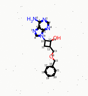 Nc1ncnc2c1ncn2C1CC(COCc2ccccc2)C1O